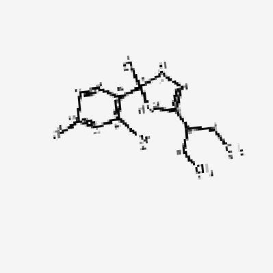 CCC(CC)C1=CNC(Cl)(c2ccc(Cl)cc2Br)N1